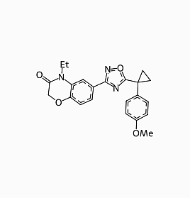 CCN1C(=O)COc2ccc(-c3noc(C4(c5ccc(OC)cc5)CC4)n3)cc21